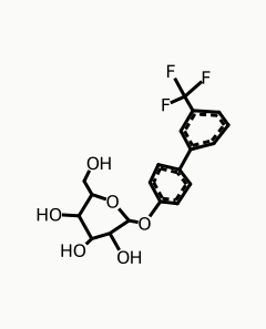 OCC1OC(Oc2ccc(-c3cccc(C(F)(F)F)c3)cc2)C(O)C(O)C1O